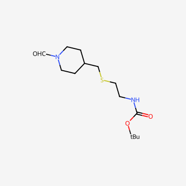 CC(C)(C)OC(=O)NCCSCC1CCN(C=O)CC1